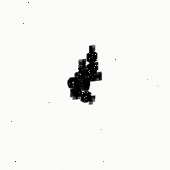 OCC1OC(SC2CCCC(n3cc(-c4ccc(F)cc4)nn3)C2O)C(O)C(n2cc(-c3ccc(F)cc3)nn2)C1O